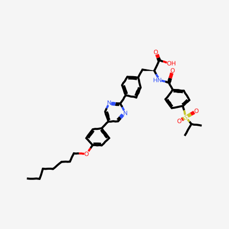 CCCCCCCOc1ccc(-c2cnc(-c3ccc(C[C@H](NC(=O)c4ccc(S(=O)(=O)C(C)C)cc4)C(=O)O)cc3)nc2)cc1